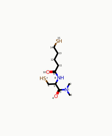 CN(C)C(=O)C(CS)NC(=O)CCCCS